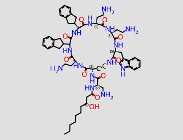 CCCCCCC[C@@H](O)CC(=O)N[C@H](CN)C(=O)N[C@H]1CCNC(=O)[C@H](Cc2c[nH]c3ccccc23)NC(=O)[C@H](CCN)NC(=O)[C@H](CCN)NC(=O)[C@H](C2Cc3ccccc3C2)NC(=O)C(C2Cc3ccccc3C2)NC(=O)[C@H](CCN)NC1=O